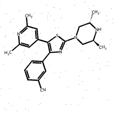 Cc1cc(-c2sc(N3C[C@H](C)N[C@@H](C)C3)nc2-c2cccc(C#N)c2)cc(C)n1